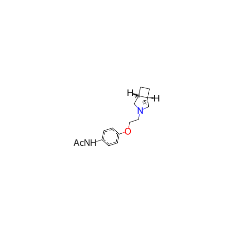 CC(=O)Nc1ccc(OCCN2C[C@H]3CC[C@H]3C2)cc1